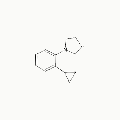 [CH]1CCN(c2ccccc2C2CC2)C1